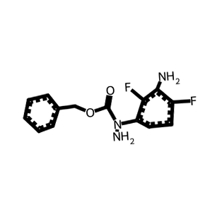 Nc1c(F)ccc(N(N)C(=O)OCc2ccccc2)c1F